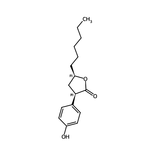 CCCCCC[C@@H]1C[C@H](c2ccc(O)cc2)C(=O)O1